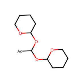 CC(=O)C(OC1CCCCO1)OC1CCCCO1